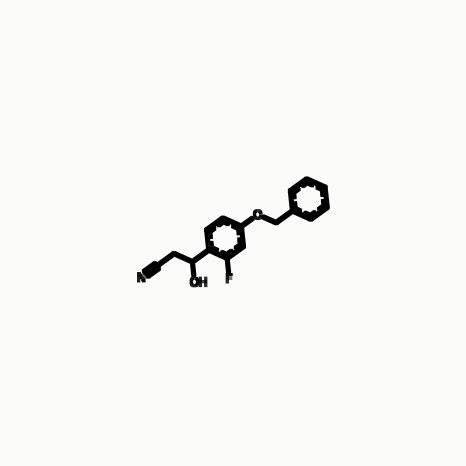 N#CCC(O)c1ccc(OCc2ccccc2)cc1F